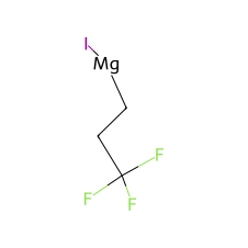 FC(F)(F)C[CH2][Mg][I]